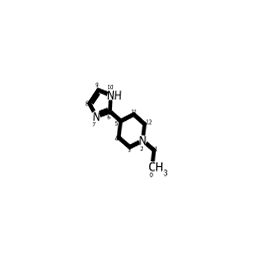 CCN1CCC(c2ncc[nH]2)CC1